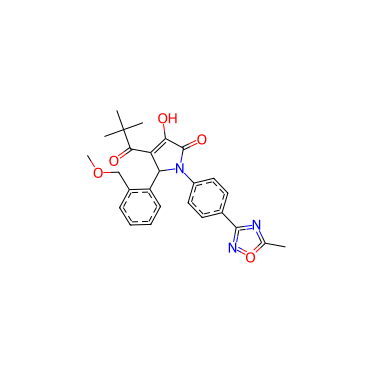 COCc1ccccc1C1C(C(=O)C(C)(C)C)=C(O)C(=O)N1c1ccc(-c2noc(C)n2)cc1